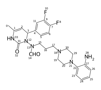 CC1=CC(c2ccc(F)c(F)c2)N(N(C=O)CCCN2CCN(c3ccccc3N)CC2)C(=O)N1